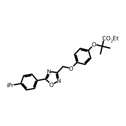 CCOC(=O)C(C)(C)Oc1ccc(OCc2noc(-c3ccc(C(C)C)cc3)n2)cc1